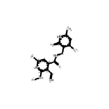 Cc1cc(C)c(CNC(=O)c2cc(C(C)C)nc(NC(C)C)c2C=N)c(=O)[nH]1